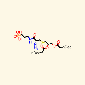 CCCCCCCCCCCC(=O)OC[C@H](CSC[C@H](N)C(=O)NCCCP(=O)(O)O)OC(=O)CCCCCCCCCCC